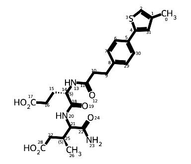 Cc1csc(-c2ccc(CCC(=O)N[C@@H](CCC(=O)O)C(=O)NC(C(N)=O)[C@@H](C)CC(=O)O)cc2)c1